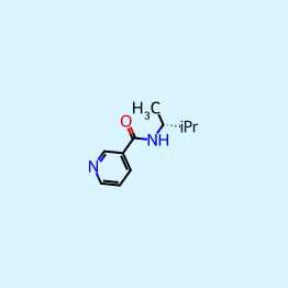 CC(C)[C@@H](C)NC(=O)c1cccnc1